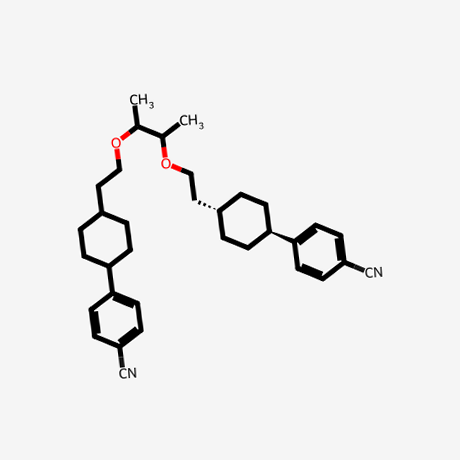 CC(OCCC1CCC(c2ccc(C#N)cc2)CC1)C(C)OCC[C@H]1CC[C@H](c2ccc(C#N)cc2)CC1